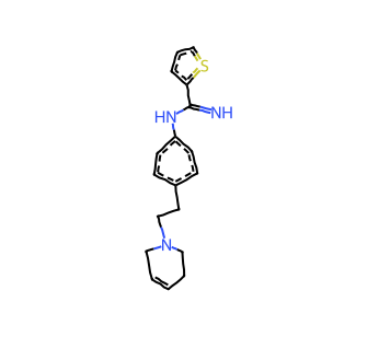 N=C(Nc1ccc(CCN2CC=CCC2)cc1)c1cccs1